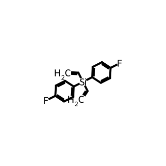 C=C[Si](C=C)(c1ccc(F)cc1)c1ccc(F)cc1